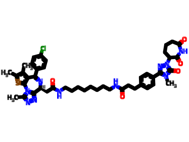 Cc1sc2c(c1C)C(c1ccc(Cl)cc1)=N[C@@H](CC(=O)NCCCCCCCCNC(=O)CCc1ccc(-c3nn(C4CCCC(=O)NC4=O)c(=O)n3C)cc1)c1nnc(C)n1-2